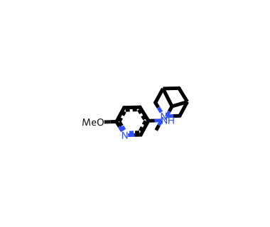 COc1ccc(NC2C3CC2CN(C)C3)cn1